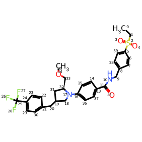 CCS(=O)(=O)c1ccc(CNC(=O)c2ccc(N3CC(Cc4ccc(C(F)(F)F)cc4)C[C@H]3COC)cc2)cc1